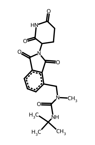 CN(Cc1cccc2c1C(=O)N(C1CCC(=O)NC1=O)C2=O)C(=O)NC(C)(C)C